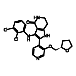 O=C1NCCc2[nH]c(-c3ccncc3OC[C@@H]3CCCO3)c(Nc3cccc(Cl)c3Cl)c21